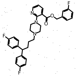 O=C(OCc1cccc(F)c1)c1cccnc1N1CCN(CCCC(c2ccc(F)cc2)c2ccc(F)cc2)CC1